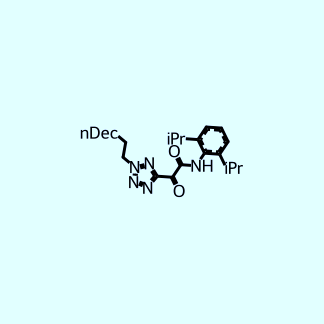 CCCCCCCCCCCCn1nnc(C(=O)C(=O)Nc2c(C(C)C)cccc2C(C)C)n1